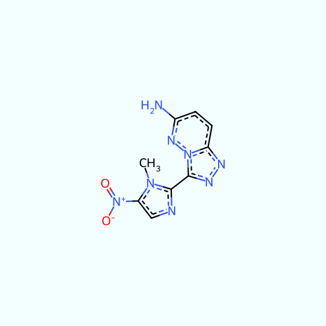 Cn1c([N+](=O)[O-])cnc1-c1nnc2ccc(N)nn12